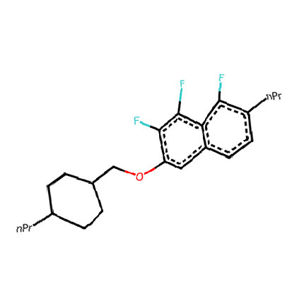 CCCc1ccc2cc(OCC3CCC(CCC)CC3)c(F)c(F)c2c1F